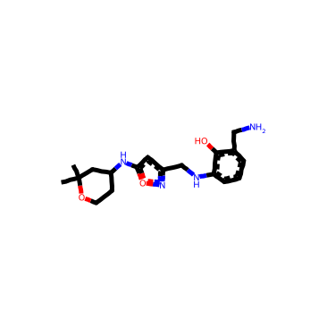 CC1(C)CC(Nc2cc(CNc3cccc(CN)c3O)no2)CCO1